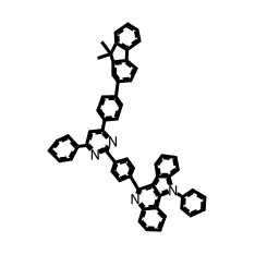 CC1(C)c2ccccc2-c2ccc(-c3ccc(-c4cc(-c5ccccc5)nc(-c5ccc(-c6nc7ccccc7c7c6c6ccccc6n7-c6ccccc6)cc5)n4)cc3)cc21